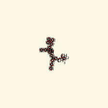 C=C/C(=C\C=C(/C)c1ccc2c(c1)c1cc(-c3ccc(-c4ccccc4)cc3)ccc1n2-c1ccc(-c2ccc(N(c3ccc(-c4ccccc4)cc3)c3ccc(-c4ccc5c(c4)C(c4ccccc4)(c4ccccc4)c4ccccc4-5)cc3)c3nsnc23)cc1)c1ccccc1